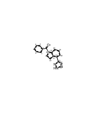 O=C(c1ccccc1)n1ccc2c(-c3nn[nH]n3)cccc21